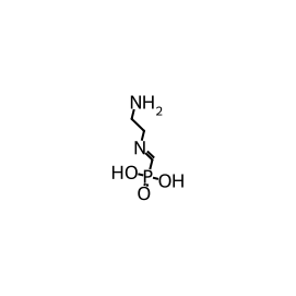 NCCN=CP(=O)(O)O